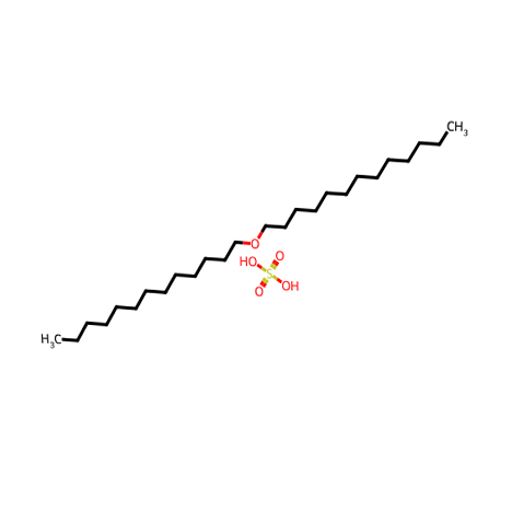 CCCCCCCCCCCCCOCCCCCCCCCCCCC.O=S(=O)(O)O